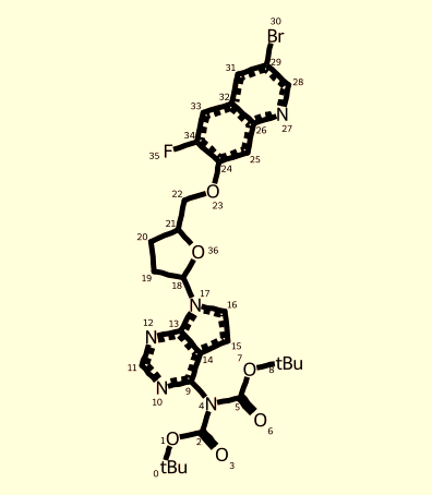 CC(C)(C)OC(=O)N(C(=O)OC(C)(C)C)c1ncnc2c1ccn2C1CCC(COc2cc3ncc(Br)cc3cc2F)O1